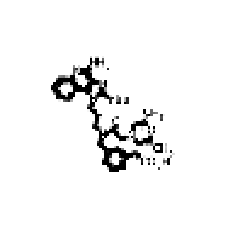 CCCCc1nc2c(N)nc3ccccc3c2n1CCCN(Cc1cccc(CC(=O)O)c1)C(=O)CN1C[C@@H](C)O[C@@H](C)C1